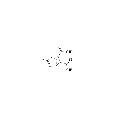 CC1=CC2CC1C(C(=O)OCC(C)C)C2C(=O)OCC(C)C